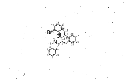 C=C(CN(C)Cc1ccccc1)C(=O)/C(=C\c1cccc(Br)c1)c1ccccc1